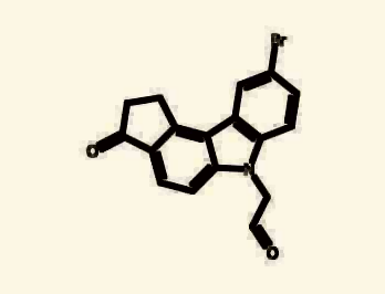 O=CCn1c2ccc(Br)cc2c2c3c(ccc21)C(=O)CC3